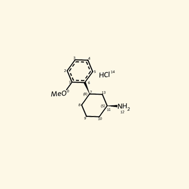 COc1ccccc1[C@@H]1CCC[C@H](N)C1.Cl